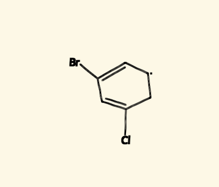 ClC1=CC(Br)=C[CH]C1